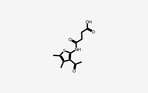 CC(=O)c1c(NC(=O)CCC(=O)O)sc(C)c1C